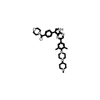 Cc1cc(-c2cnc3[nH]cc(-c4ccc(C(=O)N5CCOCC5)cc4)c3n2)cc(C)c1N1CCN(C2CCN(C)CC2)CC1